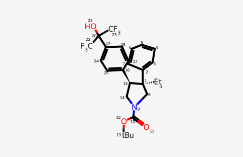 CC[C@]1(c2ccccc2)CN(C(=O)OC(C)(C)C)C[C@H]1c1ccc(C(O)(C(F)(F)F)C(F)(F)F)cc1